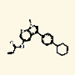 C=CC(=O)Nc1cnc2c(c1)c(-c1ccc(C3CCCCC3)cc1)cn2C